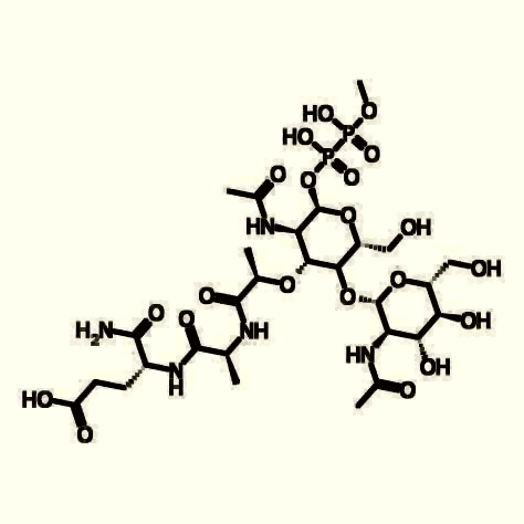 COP(=O)(O)P(=O)(O)O[C@H]1O[C@H](CO)C(O[C@@H]2O[C@H](CO)[C@@H](O)[C@H](O)[C@H]2NC(C)=O)[C@H](O[C@H](C)C(=O)N[C@@H](C)C(=O)N[C@H](CCC(=O)O)C(N)=O)[C@H]1NC(C)=O